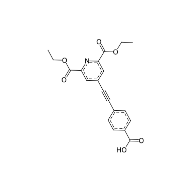 CCOC(=O)c1cc(C#Cc2ccc(C(=O)O)cc2)cc(C(=O)OCC)n1